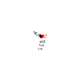 [Ga].[La].[Mg].[O]=[Co].[Sr]